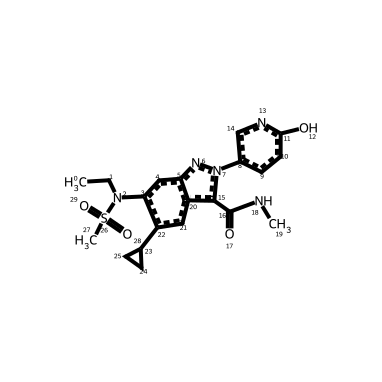 CCN(c1cc2nn(-c3ccc(O)nc3)c(C(=O)NC)c2cc1C1CC1)S(C)(=O)=O